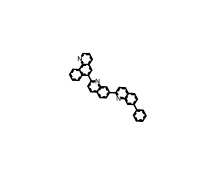 c1ccc(-c2ccc3ccc(-c4ccc5ccc(-c6cc7cccnc7c7ccccc67)nc5c4)nc3c2)cc1